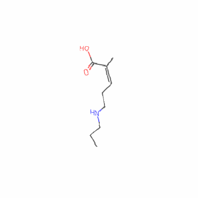 CCCNCCC=C(C)C(=O)O